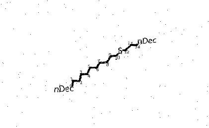 CCCCCCCCCCCCCCCCCCCCSCCCCCCCCCCCCC